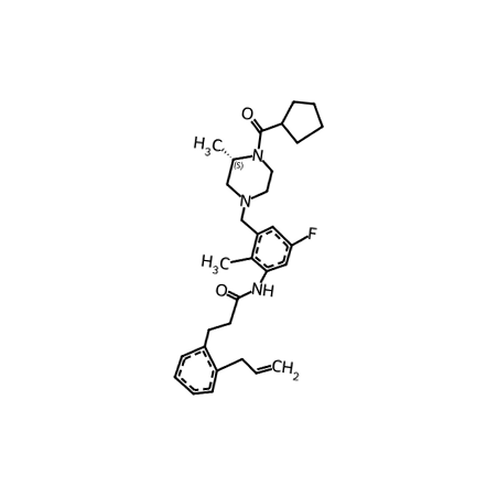 C=CCc1ccccc1CCC(=O)Nc1cc(F)cc(CN2CCN(C(=O)C3CCCC3)[C@@H](C)C2)c1C